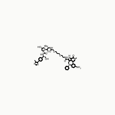 Cc1ncsc1-c1ccc([C@H](CO)NC(=O)[C@@H]2C[C@@H](O)CN2C(=O)[C@@H](NC(=O)COCCCOCCNC(=O)c2[nH]c3c(=O)n(C)cc4c3c2CN(c2ccccc2)c2ccc(N)cc2-4)C(C)(C)C)cc1